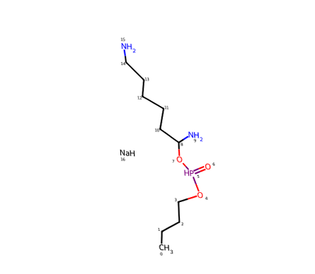 CCCCO[PH](=O)OC(N)CCCCCN.[NaH]